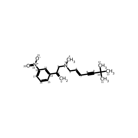 C=C(CN(C)CC=CC#CC(C)(C)C)c1cccc([N+](=O)[O-])c1